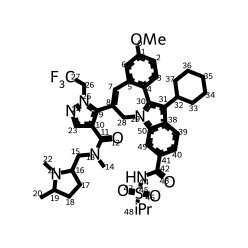 COc1ccc2c(c1)C=C(c1c(C(=O)N(C)CC3CCC(C)N3C)cnn1CC(F)(F)F)Cn1c-2c(C2CCCCC2)c2ccc(C(=O)NS(=O)(=O)C(C)C)cc21